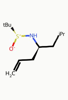 C=CC[C@H](CC(C)C)N[S@@+]([O-])C(C)(C)C